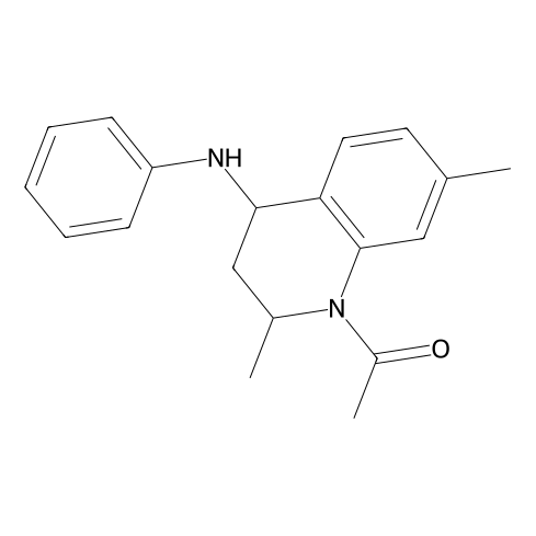 CC(=O)N1c2cc(C)ccc2C(Nc2ccccc2)CC1C